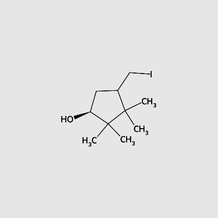 CC1(C)C(CI)C[C@H](O)C1(C)C